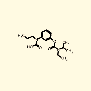 CCCN(C(=O)O)c1cccc(OC(=O)N(CC)C(C)C)c1